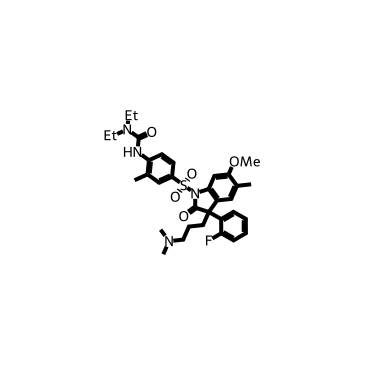 CCN(CC)C(=O)Nc1ccc(S(=O)(=O)N2C(=O)C(CCCN(C)C)(c3ccccc3F)c3cc(C)c(OC)cc32)cc1C